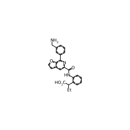 CCC(C(=O)O)c1ccccc1NC(=O)c1cc2ccoc2c(-c2cccc(CN)c2)n1